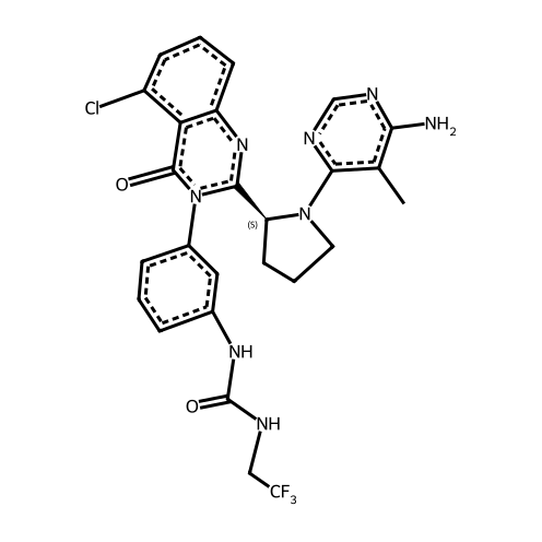 Cc1c(N)ncnc1N1CCC[C@H]1c1nc2cccc(Cl)c2c(=O)n1-c1cccc(NC(=O)NCC(F)(F)F)c1